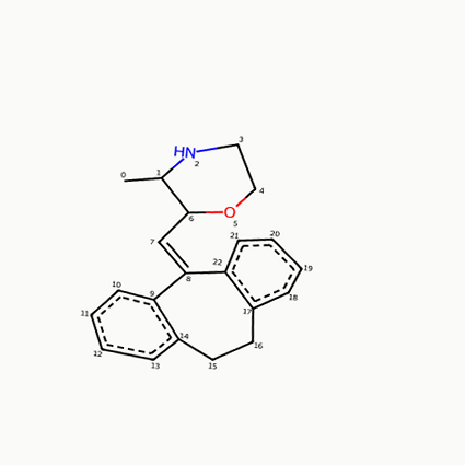 CC1NCCOC1C=C1c2ccccc2CCc2ccccc21